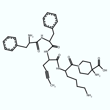 CC#CCC(NC(=O)C(Cc1ccccc1)NC(=O)C(N)Cc1ccccc1)C(=O)NC(CCCCN)C(=O)N1CCC(N)(C(=O)O)CC1